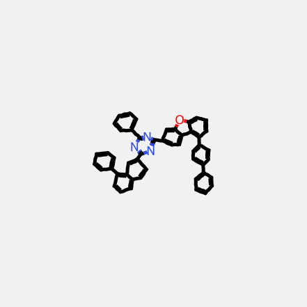 c1ccc(-c2ccc(-c3cccc4oc5cc(-c6nc(-c7ccccc7)nc(-c7ccc8cccc(-c9ccccc9)c8c7)n6)ccc5c34)cc2)cc1